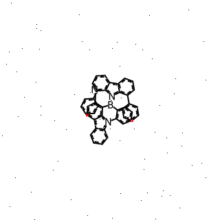 N#Cc1ccc2c3ccccc3n3c2c1B(n1c2c(-c4ccccc4)cccc2c2cccc(-c4ccccc4)c21)c1ccccc1-3